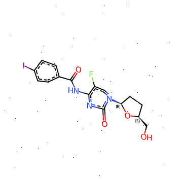 O=C(Nc1nc(=O)n([C@H]2CC[C@@H](CO)O2)cc1F)c1ccc(I)cc1